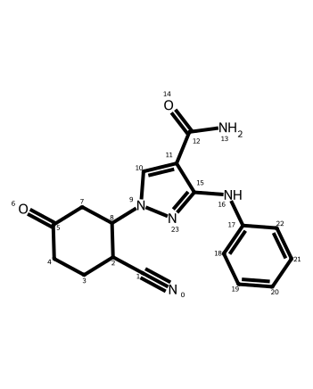 N#CC1CCC(=O)CC1n1cc(C(N)=O)c(Nc2ccccc2)n1